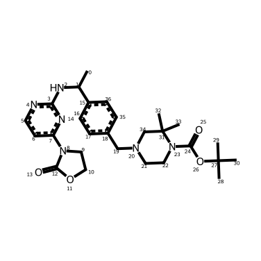 CC(Nc1nccc(N2CCOC2=O)n1)c1ccc(CN2CCN(C(=O)OC(C)(C)C)C(C)(C)C2)cc1